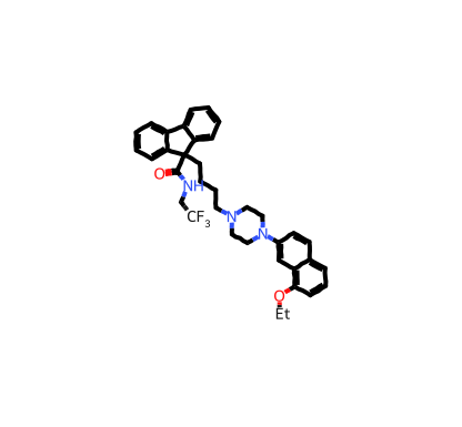 CCOc1cccc2ccc(N3CCN(CCCCC4(C(=O)NCC(F)(F)F)c5ccccc5-c5ccccc54)CC3)cc12